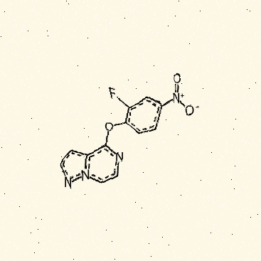 O=[N+]([O-])c1ccc(Oc2nccn3nccc23)c(F)c1